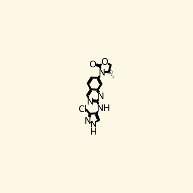 C[C@H]1COC(=O)N1c1ccc2cnc(Nc3c[nH]nc3Cl)nc2c1